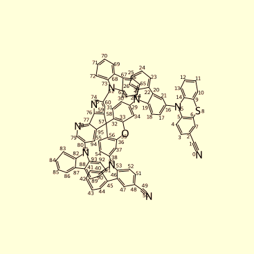 N#Cc1ccc2c(c1)Sc1ccccc1N2c1ccc2c(c1)c1ccccc1n2-c1ccc2c(c1)Oc1cc(-n3c4ccccc4c4cc(C#N)ccc43)ccc1C21c2cc(-n3c4ccccc4c4ccccc43)cnc2-c2ncc(-n3c4ccccc4c4ccccc43)cc21